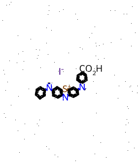 CN(c1ccccc1)c1ccc2nc3ccc(N(C)c4ccc(C(=O)O)cc4)cc3[s+]c2c1.[I-]